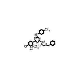 O=C(O)[C@H](CSCc1ccccc1)Nc1nc(Nc2ccc(C(F)(F)F)cc2)nc(-c2ccc(Cl)c(Cl)c2)n1